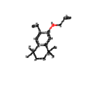 COCOc1cc2c(cc1C=O)C(C)(C)CCC2(C)C